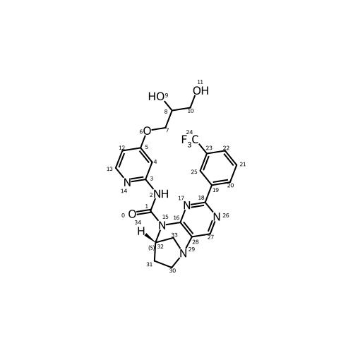 O=C(Nc1cc(OCC(O)CO)ccn1)N1c2nc(-c3cccc(C(F)(F)F)c3)ncc2N2CC[C@H]1C2